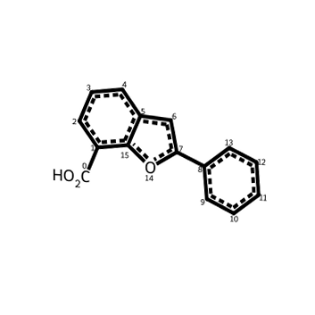 O=C(O)c1cccc2cc(-c3ccccc3)oc12